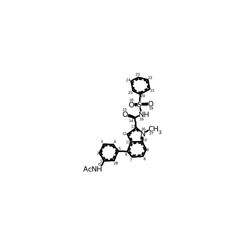 CC(=O)Nc1cccc(-c2cccc3c2cc(C(=O)NS(=O)(=O)c2ccccc2)n3C)c1